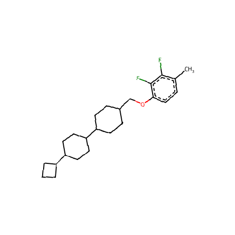 Cc1ccc(OCC2CCC(C3CCC(C4CCC4)CC3)CC2)c(F)c1F